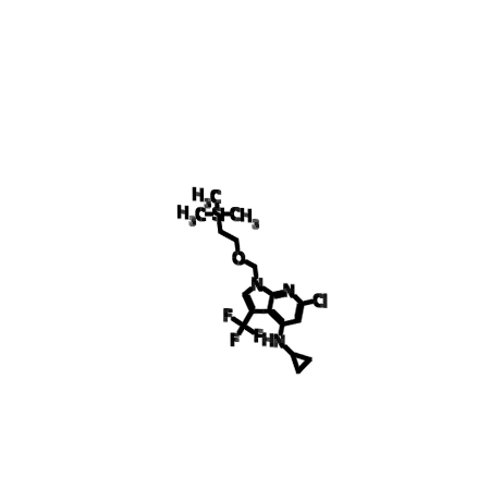 C[Si](C)(C)CCOCn1cc(C(F)(F)F)c2c(NC3CC3)cc(Cl)nc21